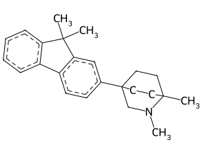 CN1CC2(c3ccc4c(c3)C(C)(C)c3ccccc3-4)CCC1(C)CC2